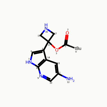 CC(C)(C)C(=O)OC1(c2c[nH]c3ncc(N)cc23)CNC1